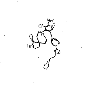 Nc1ncc(-c2ccc(-c3cnn(CCN4CCCC4)c3)cc2)c(N2CCC3(CCNC3=O)CC2)c1Cl